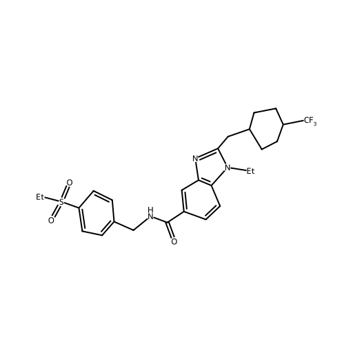 CCn1c(CC2CCC(C(F)(F)F)CC2)nc2cc(C(=O)NCc3ccc(S(=O)(=O)CC)cc3)ccc21